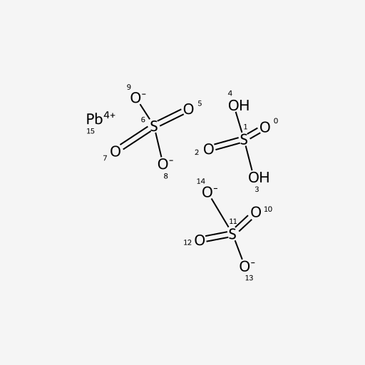 O=S(=O)(O)O.O=S(=O)([O-])[O-].O=S(=O)([O-])[O-].[Pb+4]